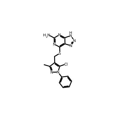 Cc1nn(-c2ccccc2)c(Cl)c1CSc1nc(N)nc2[nH]nnc12